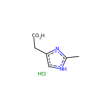 Cc1nc(CC(=O)O)c[nH]1.Cl